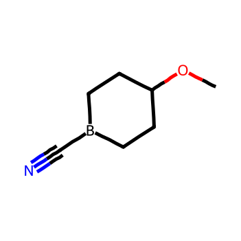 COC1CCB(C#N)CC1